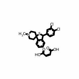 CN1CCC2(CC1)SC(c1ccc(Cl)c(Cl)c1)c1ccccc12.O=C(O)/C=C\C(=O)O